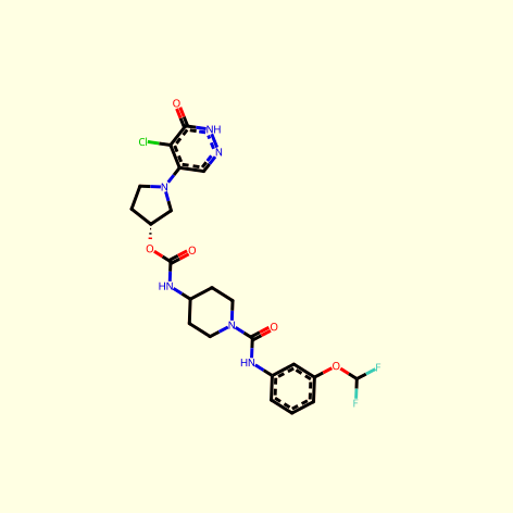 O=C(NC1CCN(C(=O)Nc2cccc(OC(F)F)c2)CC1)O[C@@H]1CCN(c2cn[nH]c(=O)c2Cl)C1